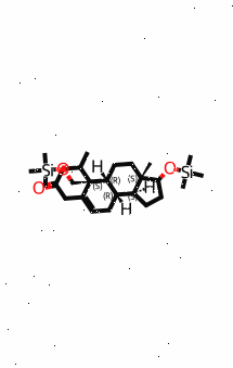 CC1CC(=O)CC2=CC[C@@H]3[C@@H](CC[C@]4(C)C(O[Si](C)(C)C)CC[C@@H]34)[C@]21CO[Si](C)(C)C